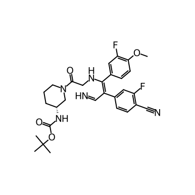 COc1ccc(/C(NCC(=O)N2CCC[C@@H](NC(=O)OC(C)(C)C)C2)=C(/C=N)c2ccc(C#N)c(F)c2)cc1F